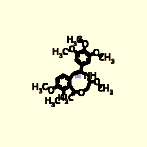 C=C1OCC(OC)N/C(c2cc(OC)c(OC)c(OC)c2)=C\c2ccc(OC)c(OC)c21